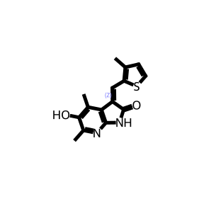 Cc1ccsc1/C=C1\C(=O)Nc2nc(C)c(O)c(C)c21